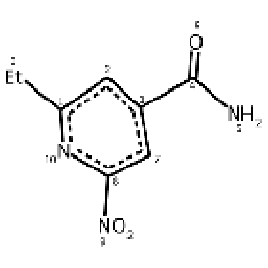 CCc1cc(C(N)=O)cc([N+](=O)[O-])n1